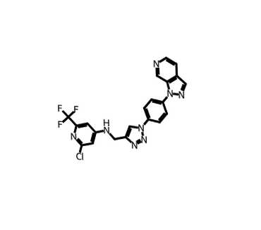 FC(F)(F)c1cc(NCc2cn(-c3ccc(-n4ncc5ccncc54)cc3)nn2)cc(Cl)n1